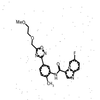 COCCOCc1nc(-c2ccc(C)c(NC(=O)c3cnc4ccc(F)cn34)c2)no1